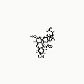 CC1CCC2C(C)(C)C2(Oc2ccc3c(c2)C(=O)OC32c3ccc(O)cc3Oc3cc(O)ccc32)C1